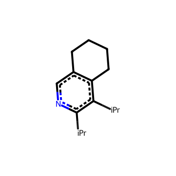 CC(C)c1ncc2c(c1C(C)C)CCCC2